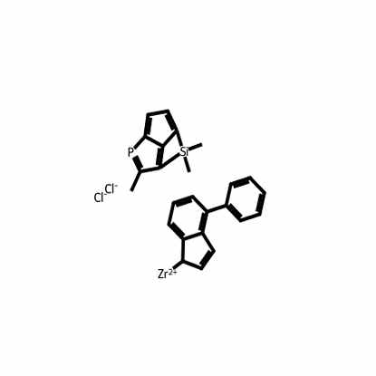 CC1=PC2=CC=C3C2=C1[Si]3(C)C.[Cl-].[Cl-].[Zr+2][CH]1C=Cc2c(-c3ccccc3)cccc21